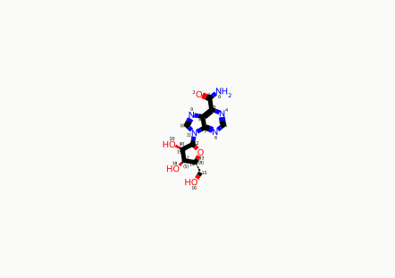 NC(=O)c1ncnc2c1ncn2C1O[C@H](CO)[C@@H](O)[C@H]1O